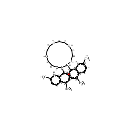 Cc1ccc2c([N+](=O)[O-])ccc(N3OCCOCCOCCOCCON3c3ccc([N+](=O)[O-])c4ccc(C)nc34)c2n1